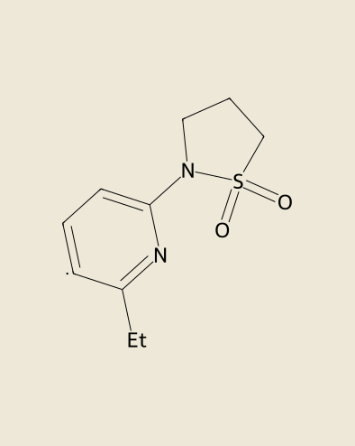 CCc1[c]ccc(N2CCCS2(=O)=O)n1